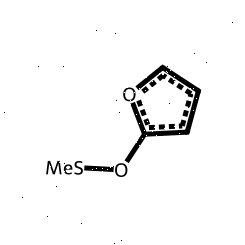 CSOc1ccco1